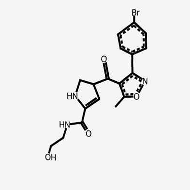 Cc1onc(-c2ccc(Br)cc2)c1C(=O)C1C=C(C(=O)NCCO)NC1